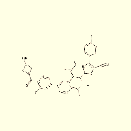 CC/C(C)=C1/C=CC(c2cnc(C(=O)N3CC(O)C3)c(F)c2)=CN1/C(=C(\C)CC)N(C)c1nc(-c2ccc(F)cc2)c(C#N)s1